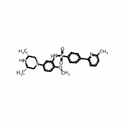 COc1ccc(N2C[C@@H](C)N[C@@H](C)C2)cc1NS(=O)(=O)c1ccc(-c2cccc(C)n2)cc1